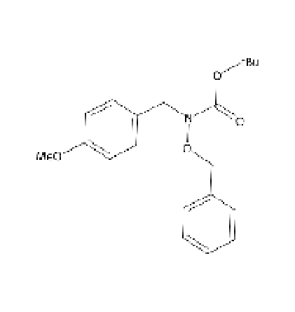 COc1ccc(CN(OCc2ccccc2)C(=O)OC(C)(C)C)cc1